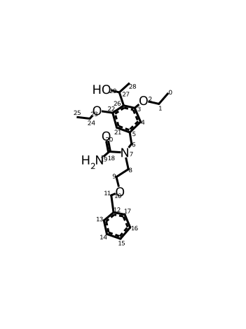 CCOc1cc(CN(CCOCc2ccccc2)C(N)=O)cc(OCC)c1C(C)O